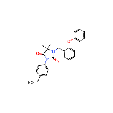 CC1(C)C(=O)N(c2ccc(CC#N)cc2)C(=O)N1Cc1ccccc1Oc1ccccc1